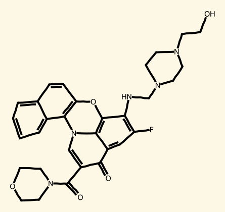 O=C(c1cn2c3c(c(NCN4CCN(CCO)CC4)c(F)cc3c1=O)Oc1ccc3ccccc3c1-2)N1CCOCC1